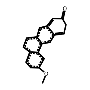 COc1ccc2ccc3cc4c(cc3c2c1)=CCC(=O)C=4